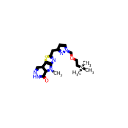 CN1c2nc(Cc3ccn(COCC[Si](C)(C)C)n3)sc2C2C=NNC(=O)C21